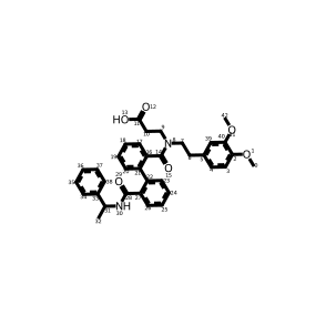 COc1ccc(CCN(CCC(=O)O)C(=O)c2ccccc2-c2ccccc2C(=O)NC(C)c2ccccc2)cc1OC